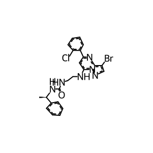 C[C@@H](NC(=O)NCCNc1cc(-c2ccccc2Cl)nc2c(Br)cnn12)c1ccccc1